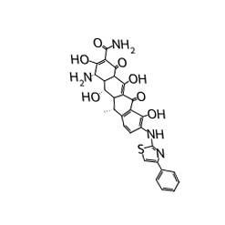 C[C@H]1c2ccc(Nc3nc(-c4ccccc4)cs3)c(O)c2C(=O)C2=C(O)C3C(=O)C(C(N)=O)=C(O)[C@@H](N)C3[C@@H](O)C21